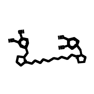 Oc1ccc(CC2CCCN2CCCCCCCCCCN2CCCC2Cc2ccc(O)c(O)c2)cc1O